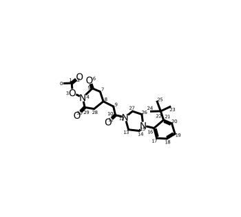 CC(=O)ON1C(=O)CC(CC(=O)N2CCN(c3ccccc3C(C)(C)C)CC2)CC1=O